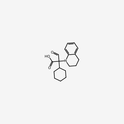 O=CC(C(=O)O)(C1CCCCC1)N1CCCc2ccccc21